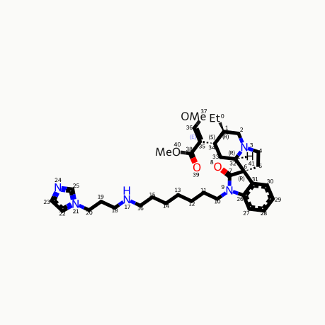 CC[C@H]1CN2CC[C@]3(C(=O)N(CCCCCCCNCCCn4ccnc4)c4ccccc43)[C@H]2C[C@@H]1/C(=C\OC)C(=O)OC